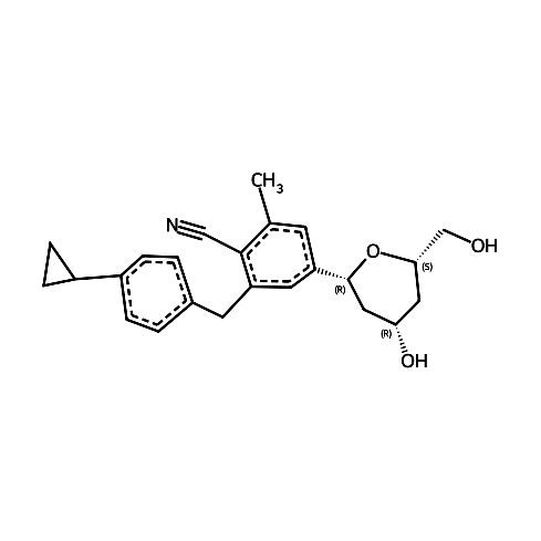 Cc1cc([C@H]2C[C@@H](O)C[C@@H](CO)O2)cc(Cc2ccc(C3CC3)cc2)c1C#N